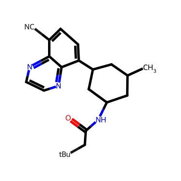 CC1CC(NC(=O)CC(C)(C)C)CC(c2ccc(C#N)c3nccnc23)C1